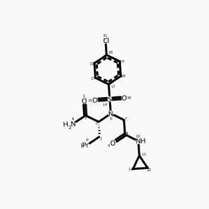 CC(C)C[C@H](C(N)=O)N(CC(=O)NC1CC1)S(=O)(=O)c1ccc(Cl)cc1